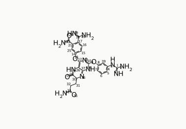 N=C(N)Nc1cccc(OC2=NC(Oc3ccc(C(=N)N)c(C(N)=O)c3)=C3NC(=O)C(CCC(N)=O)N=C3N2)c1